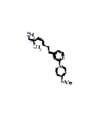 C/C=C(C)\C=C/CCCc1ccnc(N2CCC(NC)CC2)c1